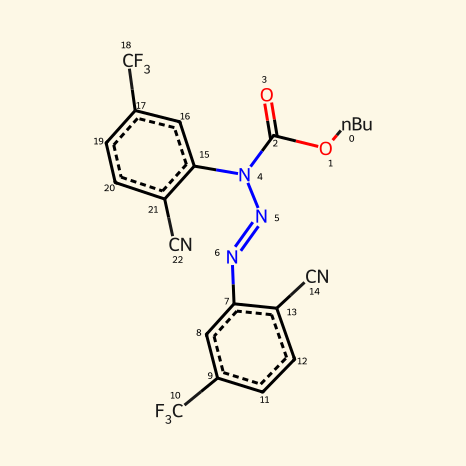 CCCCOC(=O)N(N=Nc1cc(C(F)(F)F)ccc1C#N)c1cc(C(F)(F)F)ccc1C#N